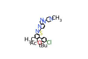 CC(=O)[C@@H](OC(C)(C)C)c1c(C)cc2nc(-c3ccc4c(cnn4C4CCN(C)CC4)n3)sc2c1-c1ccc(Cl)cc1